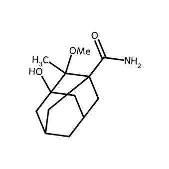 COC1(C)C2(O)CC3CC(C2)CC1(C(N)=O)C3